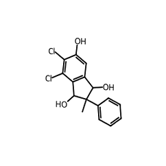 CC1(c2ccccc2)C(O)c2cc(O)c(Cl)c(Cl)c2C1O